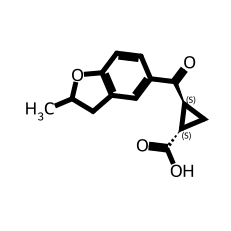 CC1Cc2cc(C(=O)[C@H]3C[C@@H]3C(=O)O)ccc2O1